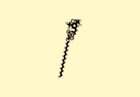 CCCCCCCCCCCCCCCCCCOC(=O)CS(=O)(=O)CC(C)Cc1cc(C(C)(C)C)c(O)c(C(C)(C)C)c1